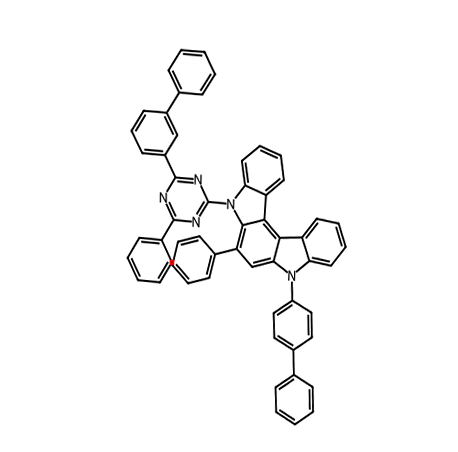 c1ccc(-c2ccc(-n3c4ccccc4c4c5c6ccccc6n(-c6nc(-c7ccccc7)nc(-c7cccc(-c8ccccc8)c7)n6)c5c(-c5ccccc5)cc43)cc2)cc1